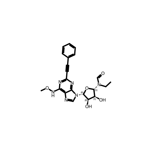 CCN(C=O)[C@H]1O[C@@H](n2cnc3c(NOC)nc(C#Cc4ccccc4)nc32)[C@H](O)[C@@H]1O